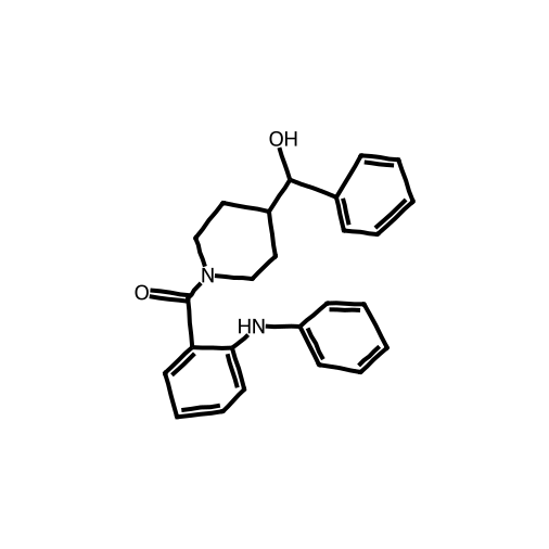 O=C(c1ccccc1Nc1ccccc1)N1CCC(C(O)c2ccccc2)CC1